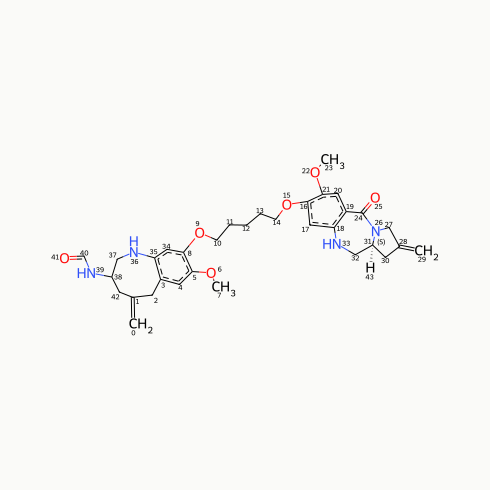 C=C1Cc2cc(OC)c(OCCCCCOc3cc4c(cc3OC)C(=O)N3CC(=C)C[C@H]3CN4)cc2NCC(NC=O)C1